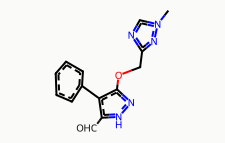 Cn1cnc(COc2n[nH]c(C=O)c2-c2ccccc2)n1